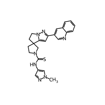 Cn1cc(NC(=S)N2CCC3(CCn4nc(-c5cnc6ccccc6c5)cc43)C2)cn1